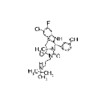 CC(C)(C)NCCCN1C(=O)N2[C@H](c3cccc(O)c3)c3[nH]c4cc(F)c(Cl)cc4c3C[C@@]2(C)C1=O